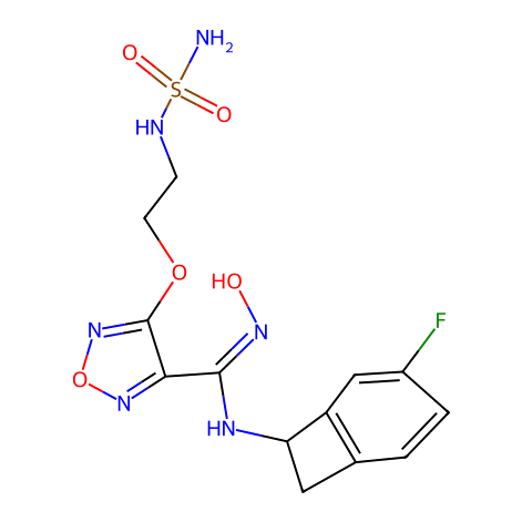 NS(=O)(=O)NCCOc1nonc1C(=NO)NC1Cc2ccc(F)cc21